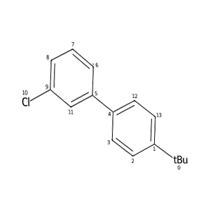 CC(C)(C)c1ccc(-c2[c]ccc(Cl)c2)cc1